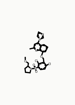 COCC1CCCN1S(=O)(=O)c1ccc(Cl)c(COc2cccc3c(-n4ccnc4)cc(C)nc23)c1Cl